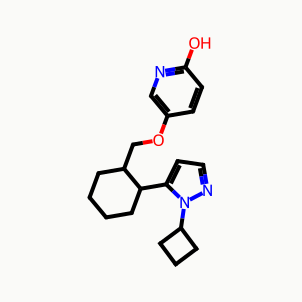 Oc1ccc(OCC2CCCCC2c2ccnn2C2CCC2)cn1